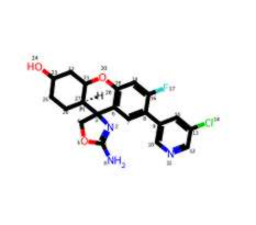 NC1=NC2(CO1)c1cc(-c3cncc(Cl)c3)c(F)cc1OC1CC(O)CC[C@@H]12